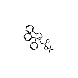 CC(C)(C)OC(=O)CP1CCC(c2ccccc2)C1(c1ccccc1)c1ccccc1